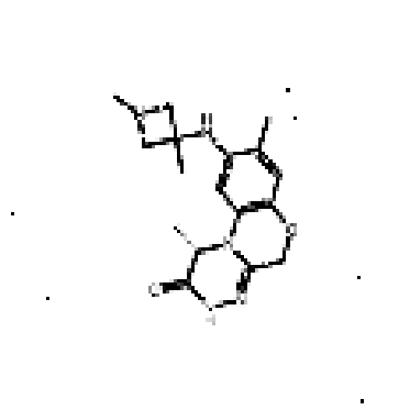 Cc1cc2c(cc1NC1(C)CN(C)C1)N1C(=NNC(=O)[C@@H]1C)CO2